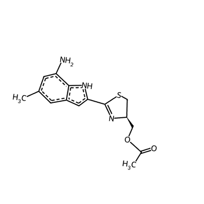 CC(=O)OC[C@@H]1CSC(c2cc3cc(C)cc(N)c3[nH]2)=N1